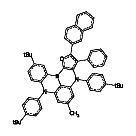 Cc1cc2c3c(c1)N(c1ccc(C(C)(C)C)cc1)c1c(oc(-c4ccc5ccccc5c4)c1-c1ccccc1)B3c1cc(C(C)(C)C)ccc1N2c1ccc(C(C)(C)C)cc1